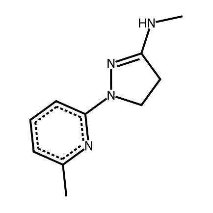 CNC1=NN(c2cccc(C)n2)CC1